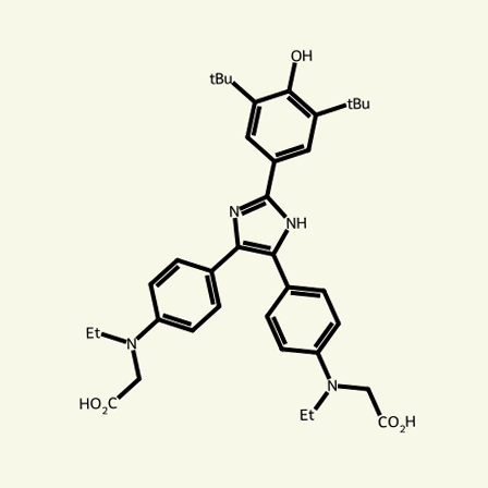 CCN(CC(=O)O)c1ccc(-c2nc(-c3cc(C(C)(C)C)c(O)c(C(C)(C)C)c3)[nH]c2-c2ccc(N(CC)CC(=O)O)cc2)cc1